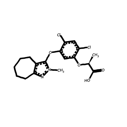 C[C@H](Oc1cc(Oc2c3c(nn2C)CCCCC3)c(Cl)cc1Cl)C(=O)O